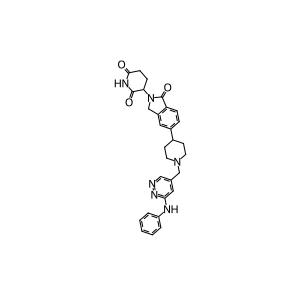 O=C1CCC(N2Cc3cc(C4CCN(Cc5cnnc(Nc6ccccc6)c5)CC4)ccc3C2=O)C(=O)N1